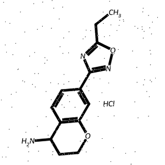 CCc1nc(-c2ccc3c(c2)OCCC3N)no1.Cl